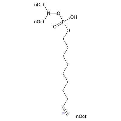 CCCCCCCC/C=C\CCCCCCCCOP(=O)(O)ON(CCCCCCCC)CCCCCCCC